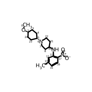 CO[C@H]1CC[C@H](N2CCC(Nc3cc(C)ccc3[N+](=O)[O-])CC2)CC1